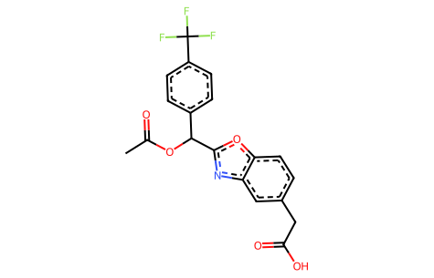 CC(=O)OC(c1ccc(C(F)(F)F)cc1)c1nc2cc(CC(=O)O)ccc2o1